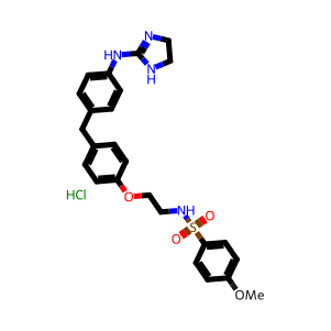 COc1ccc(S(=O)(=O)NCCOc2ccc(Cc3ccc(NC4=NCCN4)cc3)cc2)cc1.Cl